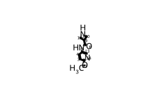 COc1ccc(NC(=O)C2CNC2)cn1